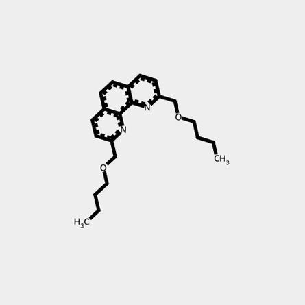 CCCCOCc1ccc2ccc3ccc(COCCCC)nc3c2n1